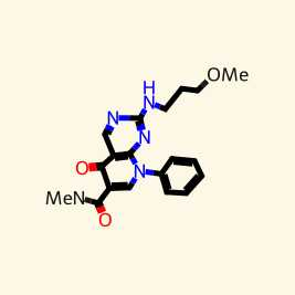 CNC(=O)c1cn(-c2ccccc2)c2nc(NCCCOC)ncc2c1=O